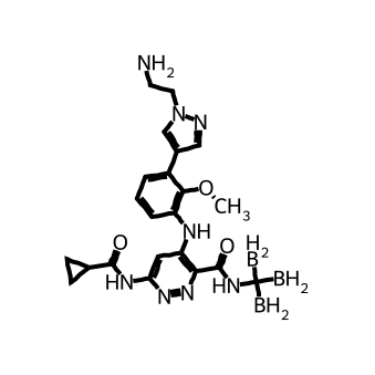 BC(B)(B)NC(=O)c1nnc(NC(=O)C2CC2)cc1Nc1cccc(-c2cnn(CCN)c2)c1OC